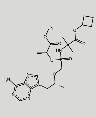 CC(C)OC(=O)[C@H](C)OP(=O)(CO[C@H](C)Cn1cnc2c(N)ncnc21)NC(C)(C)C(=O)OC1CCC1